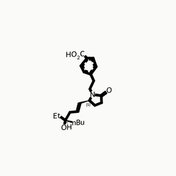 CCCC[C@@](O)(CC)CC=C[C@@H]1CCC(=O)N1CCc1ccc(C(=O)O)cc1